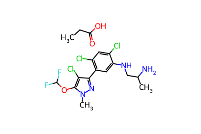 CC(N)CNc1cc(-c2nn(C)c(OC(F)F)c2Cl)c(Cl)cc1Cl.CCC(=O)O